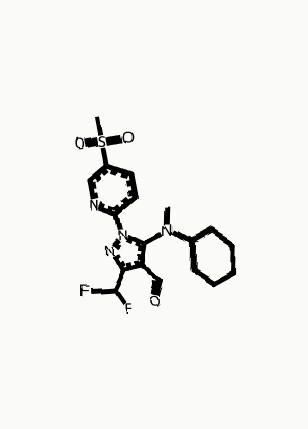 CN(c1c(C=O)c(C(F)F)nn1-c1ccc(S(C)(=O)=O)cn1)C1CCCCC1